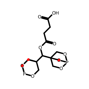 O=C(O)CCC(=O)OC(C12COP(OC1)OC2)C12COP(OC1)OC2